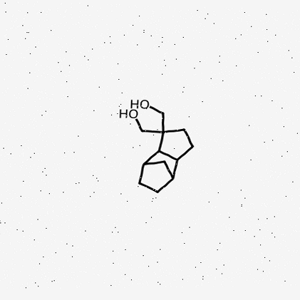 OCC1(CO)CCC2C3CCC(C3)C21